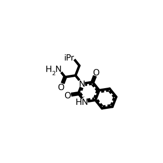 CC(C)CC(C(N)=O)n1c(=O)[nH]c2ccccc2c1=O